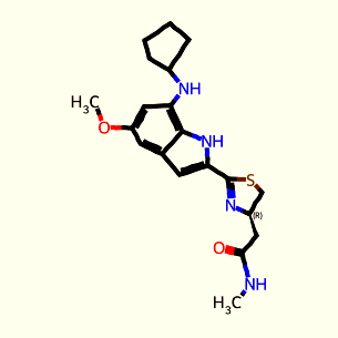 CNC(=O)C[C@@H]1CSC(c2cc3cc(OC)cc(NC4CCCC4)c3[nH]2)=N1